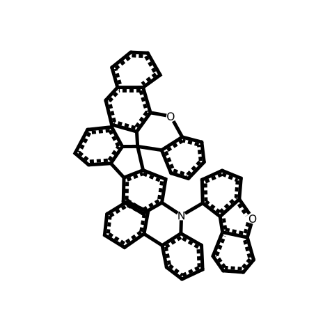 c1ccc(-c2ccccc2N(c2ccc3c(c2)C2(c4ccccc4Oc4c2ccc2ccccc42)c2ccccc2-3)c2cccc3oc4ccccc4c23)cc1